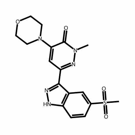 Cn1nc(-c2n[nH]c3ccc(S(C)(=O)=O)cc23)cc(N2CCOCC2)c1=O